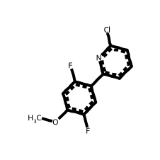 COc1cc(F)c(-c2cccc(Cl)n2)cc1F